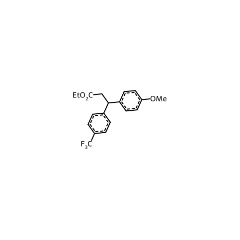 CCOC(=O)CC(c1ccc(OC)cc1)c1ccc(C(F)(F)F)cc1